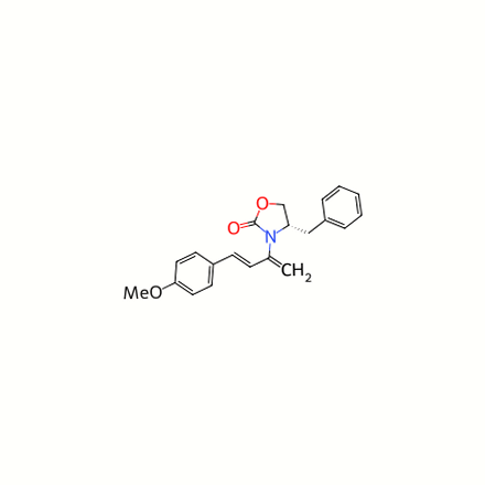 C=C(/C=C/c1ccc(OC)cc1)N1C(=O)OC[C@@H]1Cc1ccccc1